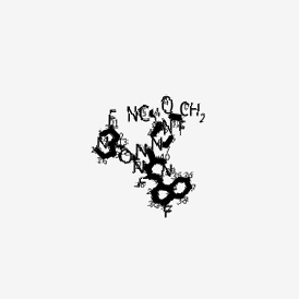 C=C(F)C(=O)N1CCN(c2nc(OC[C@@]34CCCN3C[C@H](F)C4)nc3c(F)c(-c4ccc(F)c5c4CCCC5)ncc23)C[C@@H]1CC#N